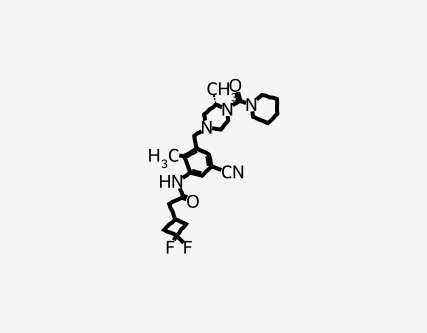 Cc1c(CN2CCN(C(=O)N3CCCCC3)[C@@H](C)C2)cc(C#N)cc1NC(=O)CC1CC(F)(F)C1